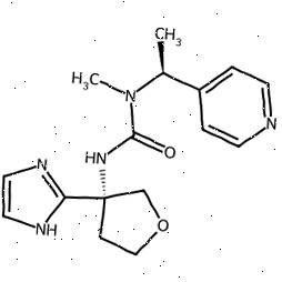 C[C@@H](c1ccncc1)N(C)C(=O)N[C@@]1(c2ncc[nH]2)CCOC1